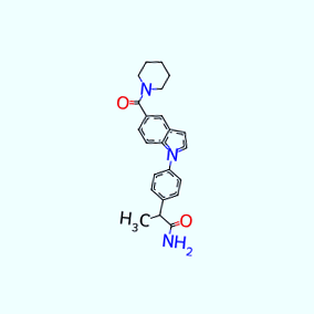 CC(C(N)=O)c1ccc(-n2ccc3cc(C(=O)N4CCCCC4)ccc32)cc1